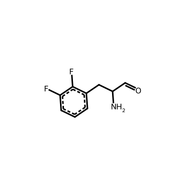 NC(C=O)Cc1cccc(F)c1F